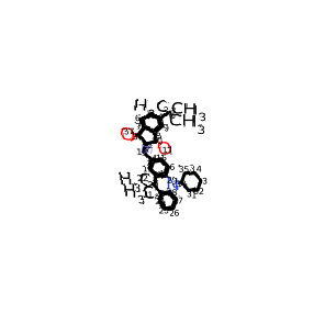 CC(C)(C)c1ccc2c(c1)C(=O)/C(=C\c1ccc3c(c1)C(C)(C)c1ccccc1N3C1CCCCC1)C2=O